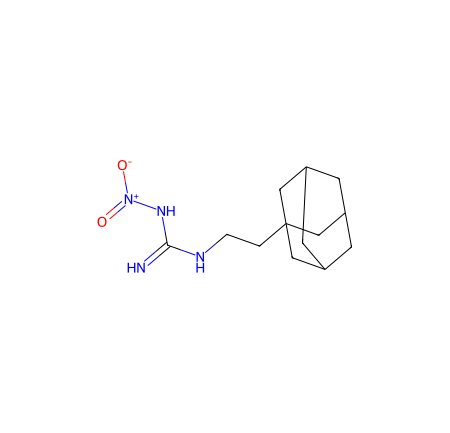 N=C(NCCC12CC3CC(CC(C3)C1)C2)N[N+](=O)[O-]